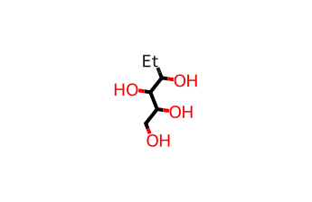 CCC(O)C(O)C(O)CO